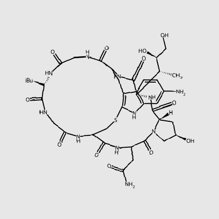 CC[C@H](C)[C@@H]1NC(=O)CNC(=O)C2Cc3c([nH]c4cc(N)ccc34)SCC(NC(=O)CNC1=O)C(=O)NC(CC(N)=O)C(=O)N1C[C@H](O)C[C@H]1C(=O)N[C@@H]([C@@H](C)[C@@H](O)CO)C(=O)N2